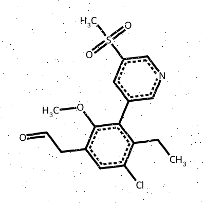 CCc1c(Cl)cc(CC=O)c(OC)c1-c1cncc(S(C)(=O)=O)c1